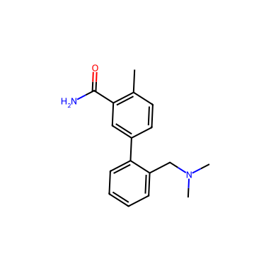 Cc1ccc(-c2ccccc2CN(C)C)cc1C(N)=O